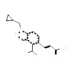 O=C(O)/C=C/c1ccc2c(nnn2CC2CC2)c1C(F)F